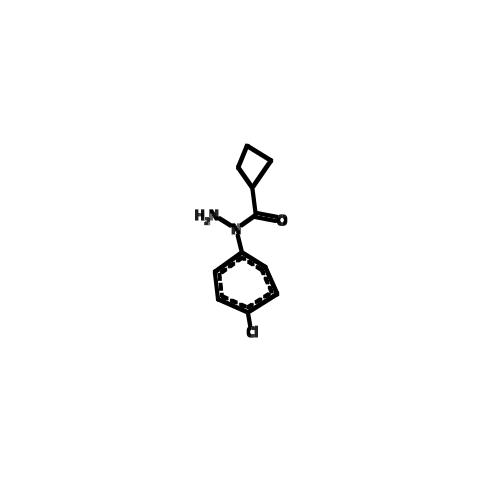 NN(C(=O)C1CCC1)c1ccc(Cl)cc1